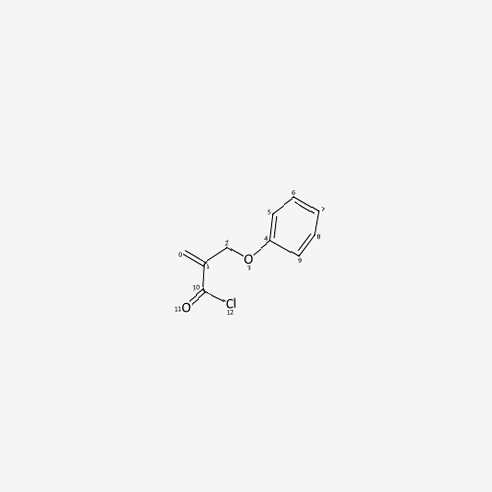 C=C(COc1ccccc1)C(=O)Cl